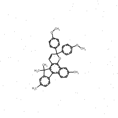 COc1ccc(C2(c3ccc(OC)cc3)C=Cc3c4c(c5ccc(C)cc5c3O2)-c2ccc(C)cc2C4(C)C)cc1